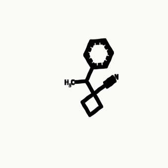 CC(c1ccccc1)C1(C#N)CCC1